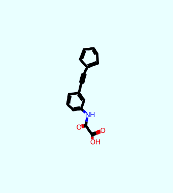 O=C(O)C(=O)Nc1cccc(C#Cc2ccccc2)c1